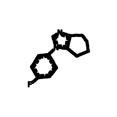 Fc1ccc(-n2cnc3c2CCCC3)cc1